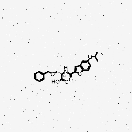 CC(C)Oc1ccc2oc(C(=O)N[C@@H](COCc3ccccc3)C(=O)O)cc2c1